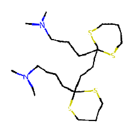 CN(C)CCCC1(CCC2(CCCN(C)C)SCCCS2)SCCCS1